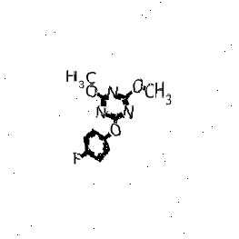 COc1nc(OC)nc(Oc2ccc(F)cc2)n1